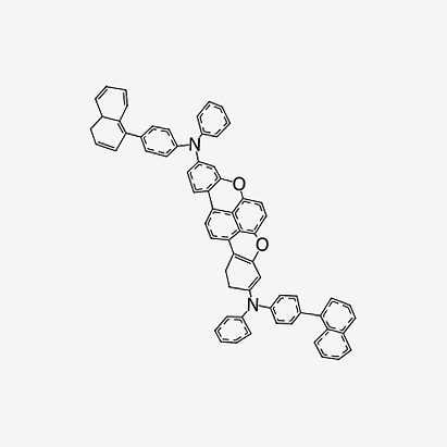 C1=CC2=C(c3ccc(N(c4ccccc4)c4ccc5c(c4)Oc4ccc6c7c(ccc-5c47)C4=C(C=C(N(c5ccccc5)c5ccc(-c7cccc8ccccc78)cc5)CC4)O6)cc3)C=CCC2C=C1